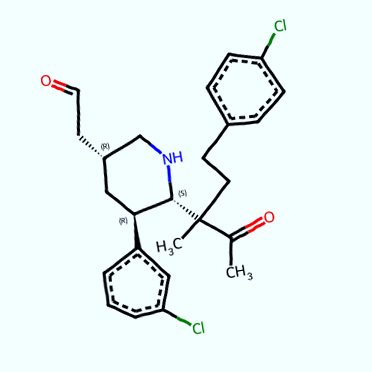 CC(=O)C(C)(CCc1ccc(Cl)cc1)[C@H]1NC[C@@H](CC=O)C[C@@H]1c1cccc(Cl)c1